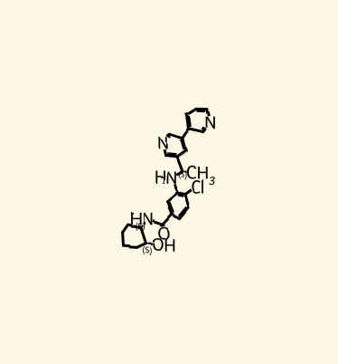 C[C@H](Nc1cc(C(=O)N[C@H]2CCCC[C@@H]2O)ccc1Cl)c1cncc(-c2cccnc2)c1